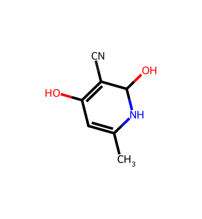 CC1=CC(O)=C(C#N)C(O)N1